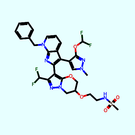 Cn1cc(-c2c3cccn(Cc4ccccc4)c-3nc2-c2c(C(F)F)nn3c2OCC(OCCNS(C)(=O)=O)C3)c(OC(F)F)n1